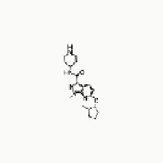 C[C@@H]1CCC[C@H]1Oc1ccc2c(C(=O)NC3CCNCC3)nn(C)c2n1